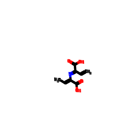 C=C/C(=N\C(=C/C)C(=O)O)C(=O)O